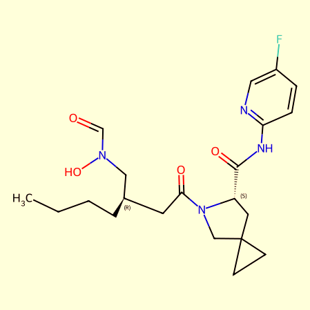 CCCC[C@H](CC(=O)N1CC2(CC2)C[C@H]1C(=O)Nc1ccc(F)cn1)CN(O)C=O